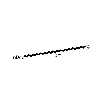 CCCCCCCCCCCCCCCCCCCCCCCCCCCCCCCCCCCCCCCCC[N+](C)(C)C.[Br-]